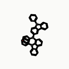 c1ccc(N(c2ccc3c(c2)c2ccccc2n3-c2ccccc2)c2cccc3c4ccccc4n(-c4ccccc4)c23)cc1